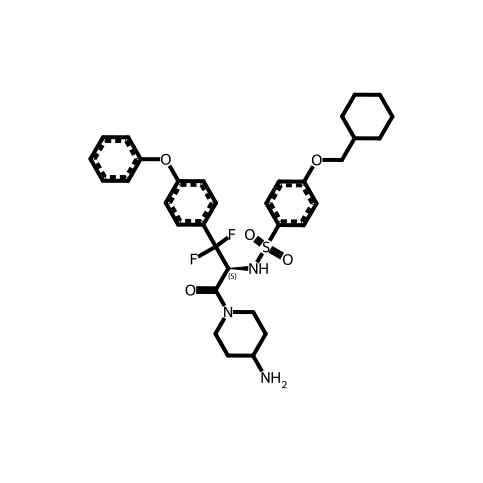 NC1CCN(C(=O)[C@H](NS(=O)(=O)c2ccc(OCC3CCCCC3)cc2)C(F)(F)c2ccc(Oc3ccccc3)cc2)CC1